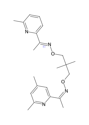 CC(=NOCC(C)(C)CO/N=C(\C)c1cccc(C)n1)c1cc(C)cc(C)n1